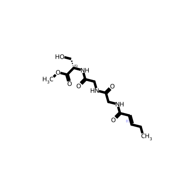 CC/C=C/C(=O)NCC(=O)NCC(=O)N[C@@H](CO)C(=O)OC